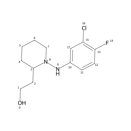 OCCC1CCCCN1Nc1ccc(F)c(Cl)c1